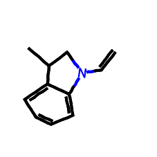 C=CN1CC(C)c2ccccc21